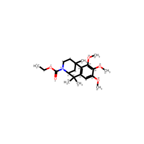 CCOC(=O)N1CCC2(C)CC1C(C)(C)c1cc(OC)c(OC)c(OC)c12